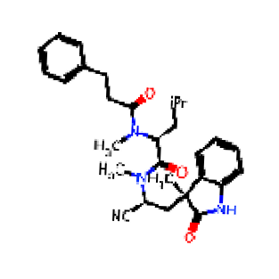 CC(C)C[C@@H](C(=O)N(C)[C@H](C#N)C[C@@]1(C)C(=O)Nc2ccccc21)N(C)C(=O)CCc1ccccc1